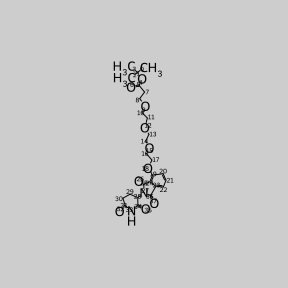 CC(C)(C)OC(=O)CCOCCOCCOCCOc1cccc2c1C(=O)N(C1CCC(=O)NC1=O)C2=O